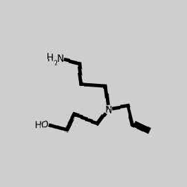 C=CCN(CCCN)CCCO